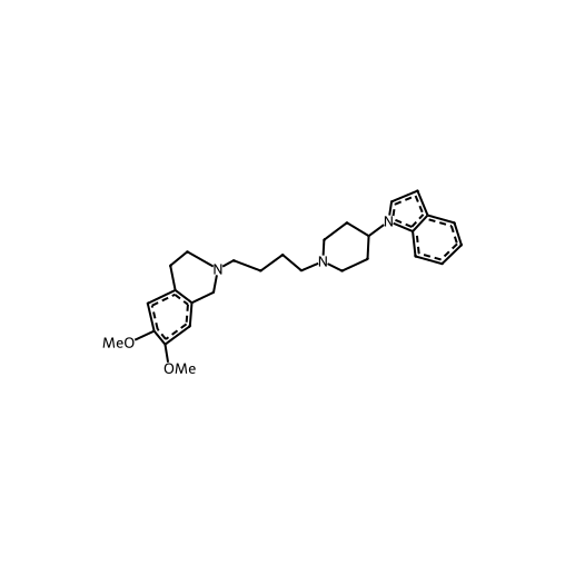 COc1cc2c(cc1OC)CN(CCCCN1CCC(n3ccc4ccccc43)CC1)CC2